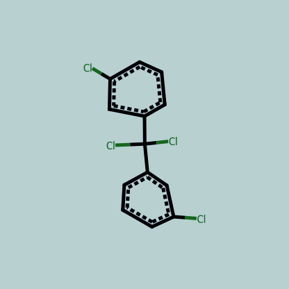 Clc1cccc(C(Cl)(Cl)c2cccc(Cl)c2)c1